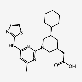 Cc1cc(Nc2nccs2)nc(N2C[C@H](CC(=O)O)C[C@H](C3CCCCC3)C2)n1